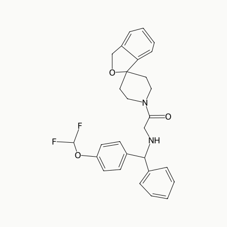 O=C(CNC(c1ccccc1)c1ccc(OC(F)F)cc1)N1CCC2(CC1)OCc1ccccc12